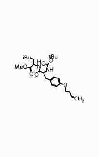 C=CCCOc1ccc(C[C@H](NC(=O)OC(C)(C)C)C(=O)NC(CC(C)CC)C(=O)OC)cc1